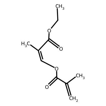 C=C(C)C(=O)OC=C(C)C(=O)OCC